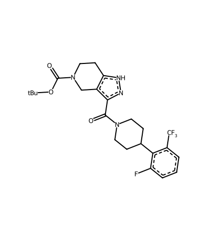 CC(C)(C)OC(=O)N1CCc2[nH]nc(C(=O)N3CCC(c4c(F)cccc4C(F)(F)F)CC3)c2C1